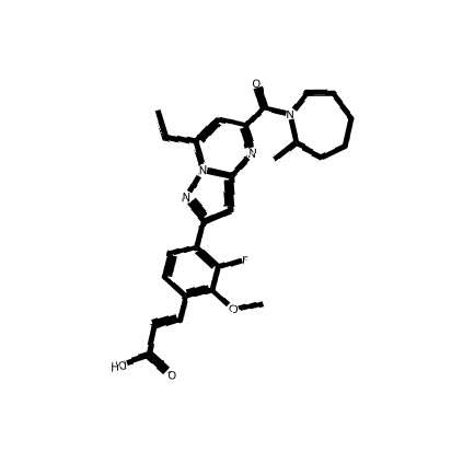 CCc1cc(C(=O)N2CCCCCC2C)nc2cc(-c3ccc(/C=C/C(=O)O)c(OC)c3F)nn12